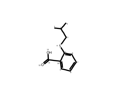 CC(C)CSc1ccccc1C(=O)O